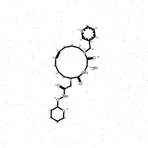 CC(C)[C@@H]1NC(=O)[C@@H](CC(=O)NOC2CCCCO2)CCCC=CCCCN(Cc2cccnc2)C1=O